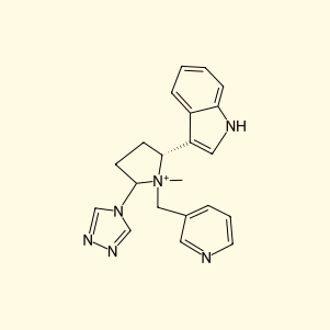 C[N+]1(Cc2cccnc2)C(n2cnnc2)CC[C@@H]1c1c[nH]c2ccccc12